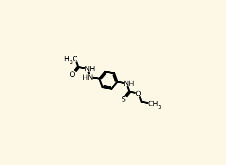 CCOC(=S)Nc1ccc(NNC(C)=O)cc1